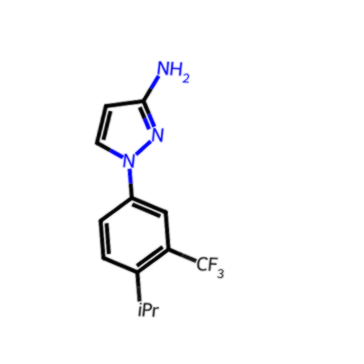 CC(C)c1ccc(-n2ccc(N)n2)cc1C(F)(F)F